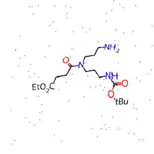 CCOC(=O)CCC(=O)N(CCCN)CCCNC(=O)OC(C)(C)C